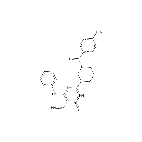 N=Cc1c(Nc2ccccc2)nc(C2CCCN(C(=O)c3ccc(N)cc3)C2)[nH]c1=O